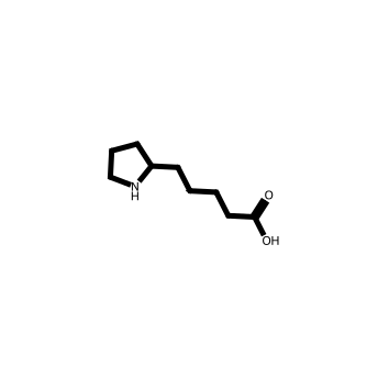 O=C(O)CC[CH]CC1CCCN1